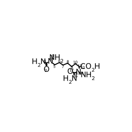 NC(=O)N(N)CCCCCC[C@@H](C(=O)O)N(N)C(N)=O